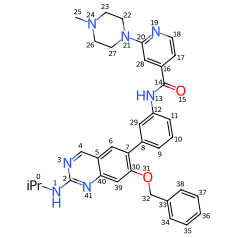 CC(C)Nc1ncc2cc(-c3cccc(NC(=O)c4ccnc(N5CCN(C)CC5)c4)c3)c(OCc3ccccc3)cc2n1